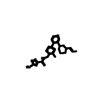 CC=CN1CCCC(c2cnccc2-c2ccc(CNC(=O)c3cc(C(C)(C)C)on3)c(C)c2)C1